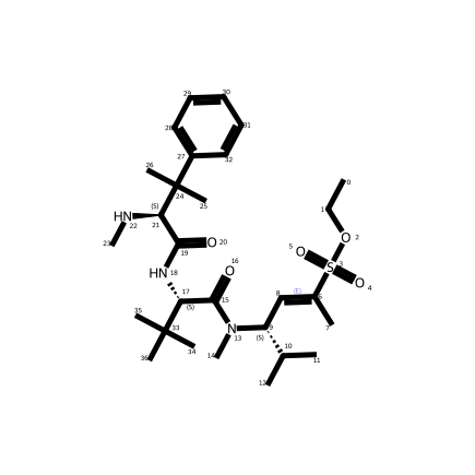 CCOS(=O)(=O)/C(C)=C/[C@H](C(C)C)N(C)C(=O)[C@@H](NC(=O)[C@@H](NC)C(C)(C)c1ccccc1)C(C)(C)C